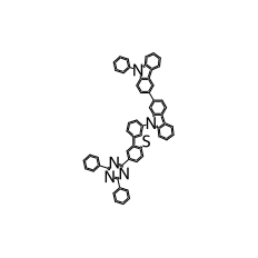 c1ccc(-c2nc(-c3ccccc3)nc(-c3ccc4sc5c(-n6c7ccccc7c7ccc(-c8ccc9c(c8)c8ccccc8n9-c8ccccc8)cc76)cccc5c4c3)n2)cc1